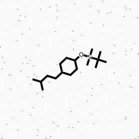 CC(C)CCC1CCC(O[Si](C)(C)C(C)(C)C)CC1